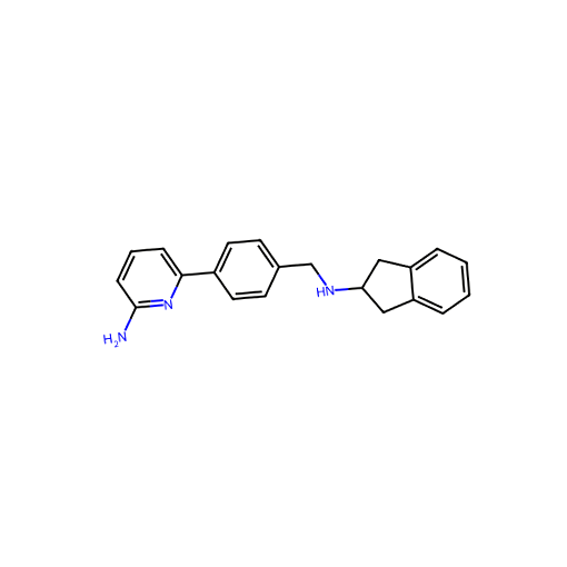 Nc1cccc(-c2ccc(CNC3Cc4ccccc4C3)cc2)n1